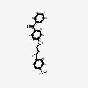 [NH]c1ccc(OCCOc2ccc(C(=O)c3ccccc3)cc2)cc1